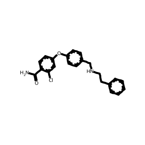 NC(=O)c1ccc(Oc2ccc(CNCCc3ccccc3)cc2)cc1Cl